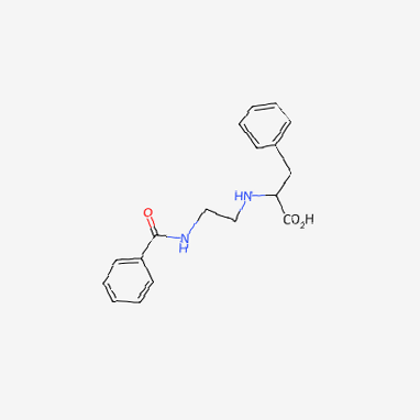 O=C(NCCNC(Cc1ccccc1)C(=O)O)c1ccccc1